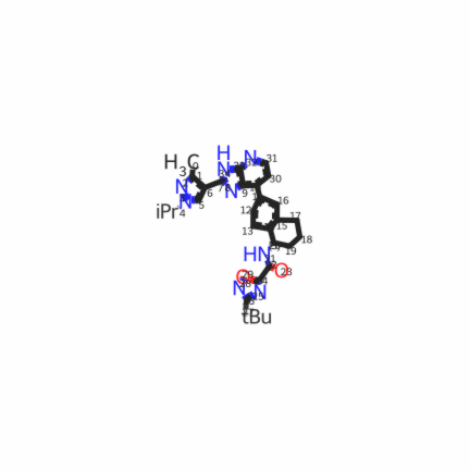 Cc1nn(C(C)C)cc1-c1nc2c(-c3ccc4c(c3)CCC[C@@H]4NC(=O)c3nc(C(C)(C)C)no3)ccnc2[nH]1